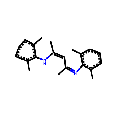 CC(=CC(C)=Nc1c(C)cccc1C)Nc1c(C)cccc1C